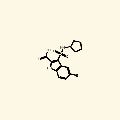 NC(=O)c1[nH]c2ccc(Br)cc2c1S(=O)(=O)NC1CCCC1